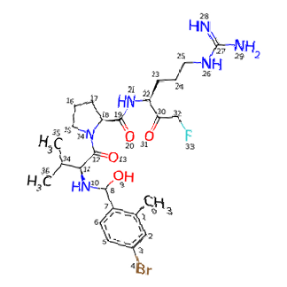 Cc1cc(Br)ccc1C(O)N[C@H](C(=O)N1CCC[C@H]1C(=O)N[C@@H](CCCNC(=N)N)C(=O)CF)C(C)C